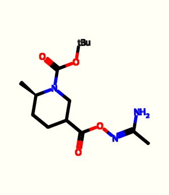 CC(N)=NOC(=O)C1CC[C@@H](C)N(C(=O)OC(C)(C)C)C1